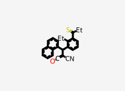 CCC(=S)c1cccc([C](C(=C=O)C#N)c2cccc3ccccc23)c1CC